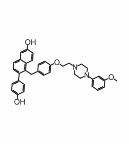 COc1cccc(N2CCN(CCOc3ccc(Cc4c(-c5ccc(O)cc5)ccc5cc(O)ccc45)cc3)CC2)c1